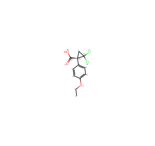 CCOc1ccc([C@]2(C(=O)O)CC2(Cl)Cl)cc1